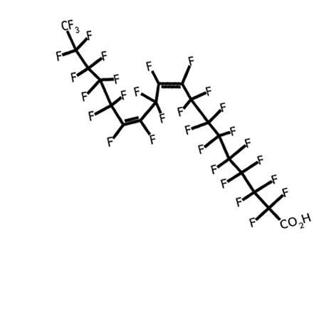 O=C(O)C(F)(F)C(F)(F)C(F)(F)C(F)(F)C(F)(F)C(F)(F)C(F)(F)/C(F)=C(/F)C(F)(F)/C(F)=C(/F)C(F)(F)C(F)(F)C(F)(F)C(F)(F)C(F)(F)F